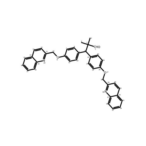 CC(C)(C=O)C(c1ccc(OCc2ccc3ccccc3n2)cc1)c1ccc(OCc2ccc3ccccc3n2)cc1